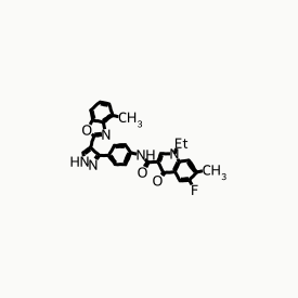 CCn1cc(C(=O)Nc2ccc(-c3n[nH]cc3-c3nc4c(C)cccc4o3)cc2)c(=O)c2cc(F)c(C)cc21